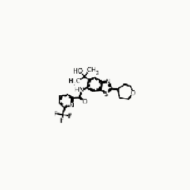 CC(C)(O)c1cc2nc(C3CCOCC3)sc2cc1NC(=O)c1cccc(C(F)(F)F)n1